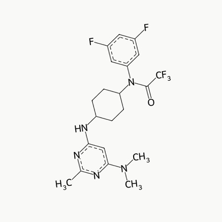 Cc1nc(NC2CCC(N(C(=O)C(F)(F)F)c3cc(F)cc(F)c3)CC2)cc(N(C)C)n1